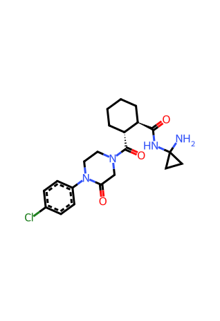 NC1(NC(=O)[C@@H]2CCCC[C@H]2C(=O)N2CCN(c3ccc(Cl)cc3)C(=O)C2)CC1